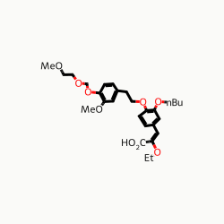 CCCCOc1cc(/C=C(/OCC)C(=O)O)ccc1OCCc1ccc(OCOCCOC)c(OC)c1